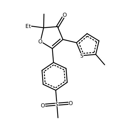 CCC1(C)OC(c2ccc(S(C)(=O)=O)cc2)=C(c2ccc(C)s2)C1=O